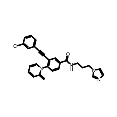 C=C1C=CC=CN1c1ccc(C(=O)NCCCn2ccnc2)cc1C#Cc1cccc(Cl)c1